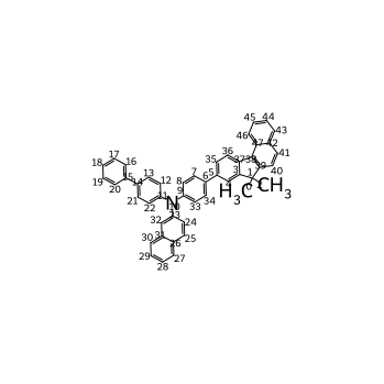 CC1(C)c2cc(-c3ccc(N(c4ccc(-c5ccccc5)cc4)c4ccc5ccccc5c4)cc3)ccc2-c2c1ccc1ccccc21